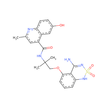 Cc1cc(C(=O)NC(C)(C)COc2cccc3c2C(N)=NS(=O)(=O)N3)c2cc(O)ccc2n1